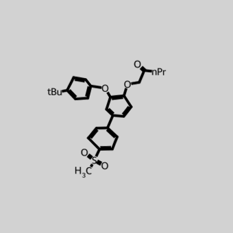 CCCC(=O)COc1ccc(-c2ccc(S(C)(=O)=O)cc2)cc1Oc1ccc(C(C)(C)C)cc1